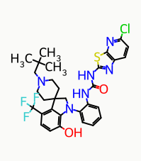 CC(C)(C)CN1CCC2(CC1)CN(c1ccccc1NC(=O)Nc1nc3ccc(Cl)nc3s1)c1c(O)ccc(C(F)(F)F)c12